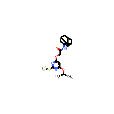 CSc1nc(OCC(=O)NC23CC4CC(CC(C4)C2)C3)cc(OC(C)C)n1